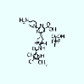 Cc1[nH]c(C(=O)N[C@@H]2[C@@H]3CN(c4cc(C(=O)O)nc(N5CCC(N)CC5)n4)C[C@@H]32)c(Cl)c1Cl.O=C(O)C(F)(F)F